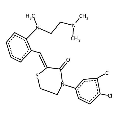 CN(C)CCN(C)c1ccccc1/C=C1\SCCN(c2ccc(Cl)c(Cl)c2)C1=O